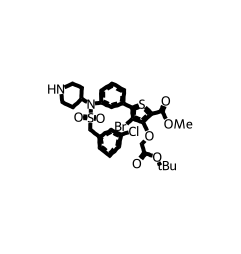 COC(=O)c1sc(-c2cccc(N(C3CCNCC3)S(=O)(=O)Cc3cccc(Cl)c3)c2)c(Br)c1OCC(=O)OC(C)(C)C